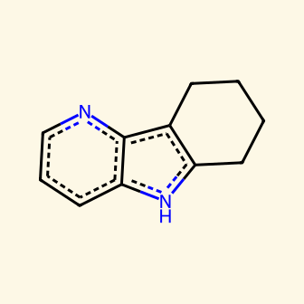 c1cnc2c3c([nH]c2c1)CCCC3